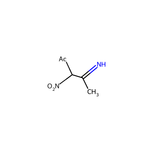 CC(=N)C(C(C)=O)[N+](=O)[O-]